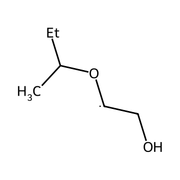 CCC(C)O[CH]CO